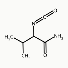 CC(C)C(N=C=O)C(N)=O